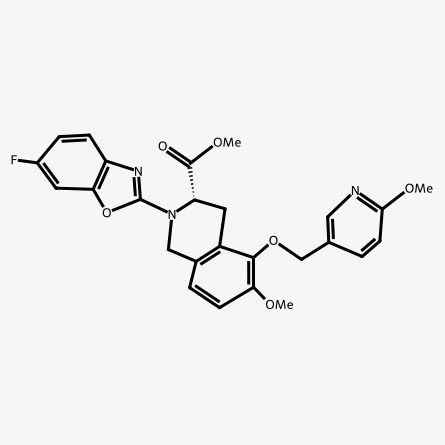 COC(=O)[C@@H]1Cc2c(ccc(OC)c2OCc2ccc(OC)nc2)CN1c1nc2ccc(F)cc2o1